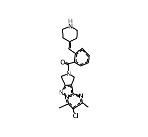 Cc1nc2c3c(nn2c(C)c1Cl)CN(C(=O)c1ccccc1C=C1CCNCC1)C3